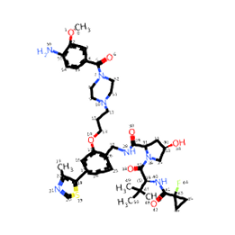 COc1cc(C(=O)N2CCN(CCCOc3cc(-c4scnc4C)ccc3CNC(=O)C3C[C@@H](O)CN3C(=O)[C@@H](NC(=O)C3(F)CC3)C(C)(C)C)CC2)ccc1N